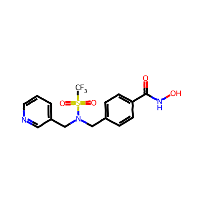 O=C(NO)c1ccc(CN(Cc2cccnc2)S(=O)(=O)C(F)(F)F)cc1